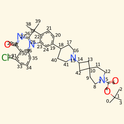 CC(C)(C)OC(=O)N1CCC2(CC1)CC(N1CCC(c3ccc4c(c3)-n3c(nc(=O)c5c(Cl)cccc53)C4(C)C)CC1)C2